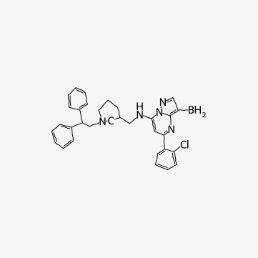 Bc1cnn2c(NCC3CCCN(CC(c4ccccc4)c4ccccc4)C3)cc(-c3ccccc3Cl)nc12